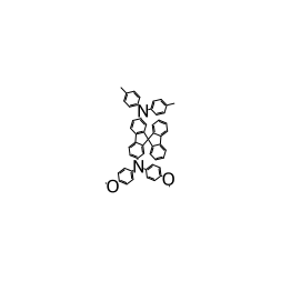 COc1ccc(N(c2ccc(OC)cc2)c2ccc3c(c2)C2(c4ccccc4-c4ccccc42)c2cc(N(c4ccc(C)cc4)c4ccc(C)cc4)ccc2-3)cc1